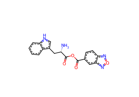 N[C@@H](Cc1c[nH]c2ccccc12)C(=O)OC(=O)c1ccc2nonc2c1